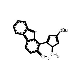 C=c1ccc2c(c1C1=CC(C(C)(C)C)=CC1C)[C]=c1ccccc1=2